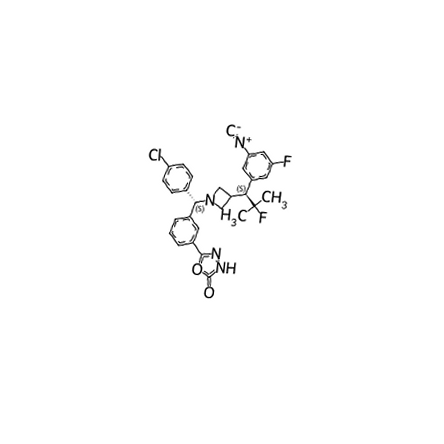 [C-]#[N+]c1cc(F)cc([C@H](C2CN([C@@H](c3ccc(Cl)cc3)c3cccc(-c4n[nH]c(=O)o4)c3)C2)C(C)(C)F)c1